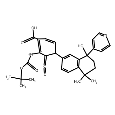 CC(C)(C)OC(=O)NC1=C(C(=O)O)C=CC(c2ccc3c(c2)C(O)(c2ccncc2)CCC3(C)C)C1=C=O